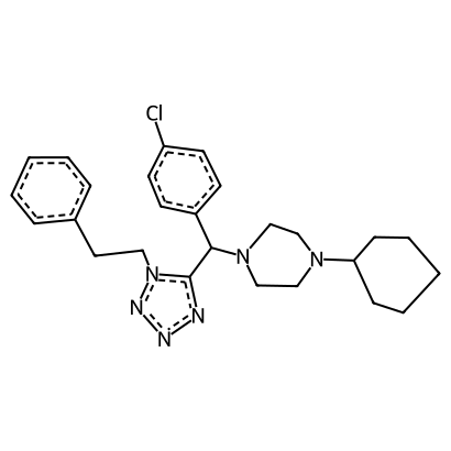 Clc1ccc(C(c2nnnn2CCc2ccccc2)N2CCN(C3CCCCC3)CC2)cc1